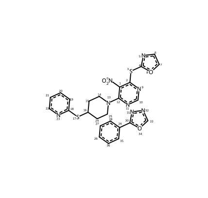 O=[N+]([O-])c1c(Sc2ncco2)ncnc1N1CCC(Sc2ccccn2)CC1.c1ccc(-c2nnco2)cc1